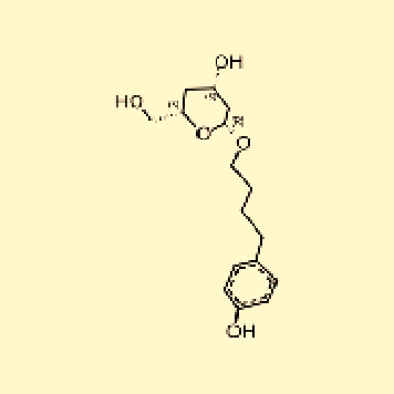 OC[C@@H]1C[C@H](O)C[C@H](OCCCCc2ccc(O)cc2)O1